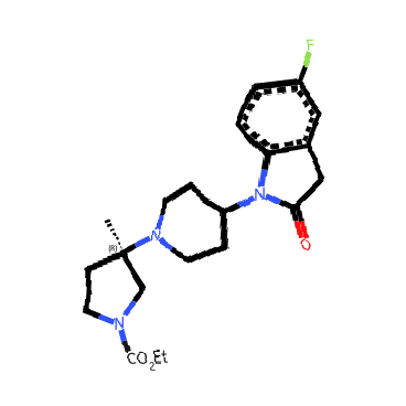 CCOC(=O)N1CC[C@@](C)(N2CCC(N3C(=O)Cc4cc(F)ccc43)CC2)C1